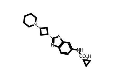 C1CC1.O=C(O)Nc1ccc2nc([C@H]3C[C@@H](N4CCCCC4)C3)sc2c1